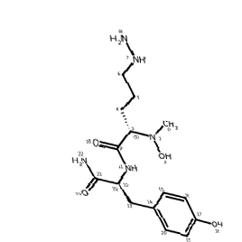 CN(O)[C@@H](CCCNN)C(=O)N[C@@H](Cc1ccc(O)cc1)C(N)=O